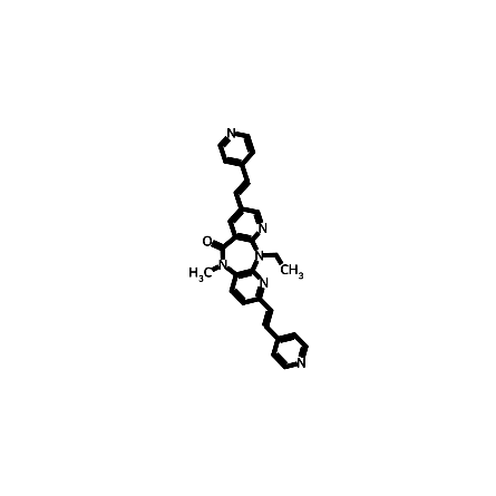 CCN1c2ncc(C=Cc3ccncc3)cc2C(=O)N(C)c2ccc(C=Cc3ccncc3)nc21